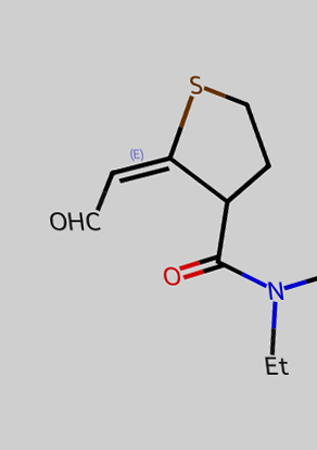 CCN(C)C(=O)C1CCS/C1=C/C=O